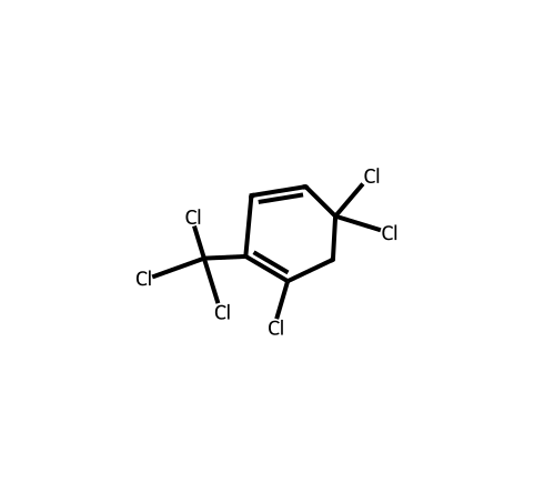 ClC1=C(C(Cl)(Cl)Cl)C=CC(Cl)(Cl)C1